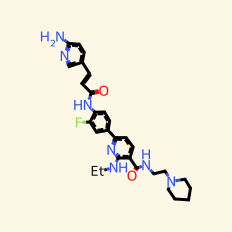 CCNc1nc(-c2ccc(NC(=O)C=Cc3ccc(N)nc3)c(F)c2)ccc1C(=O)NCCN1CCCCC1